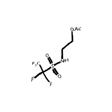 CC(=O)OCCNS(=O)(=O)C(F)(F)C(F)(F)F